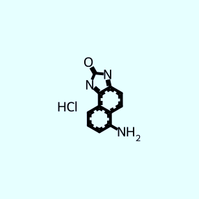 Cl.Nc1cccc2c3c(ccc12)=NC(=O)N=3